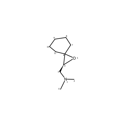 CN(C)C[C@@H]1OC12CCCCC2